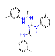 C=C(/N=C(\N=C(/C)Nc1cccc(C)c1)Nc1cccc(C)c1)Nc1cccc(C)c1